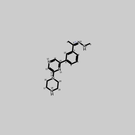 CN/N=C(/C)c1cccc(-c2cncc(N3CCNCC3)n2)c1